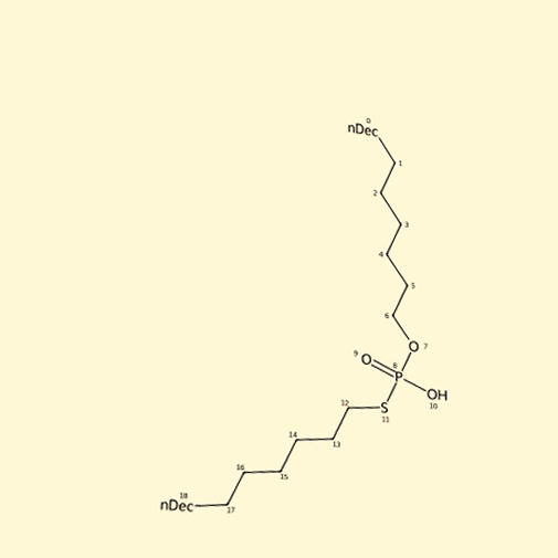 CCCCCCCCCCCCCCCCOP(=O)(O)SCCCCCCCCCCCCCCCC